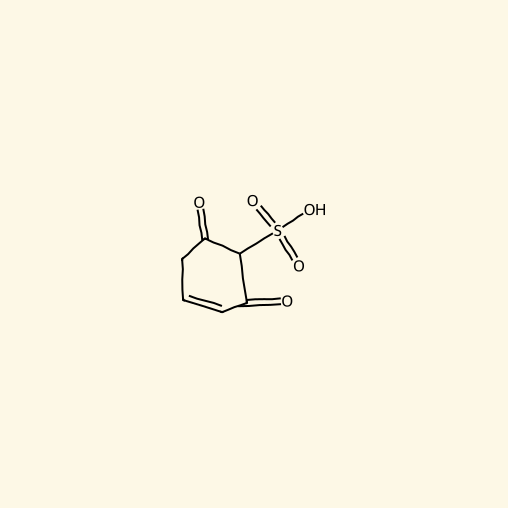 O=C1C=CCC(=O)C1S(=O)(=O)O